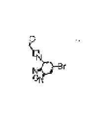 O=CC1CN(c2cc(Br)cc3nonc23)C1